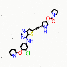 O=C(O[C@@H]1CN[C@@H](C#Cc2cc3ncnc(Nc4ccc(Oc5ccccn5)c(Cl)c4)c3s2)C1)N1CCCC1